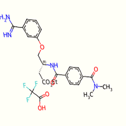 CCOC(=O)C[C@H](COc1cccc(C(=N)N)c1)NC(=O)c1ccc(C(=O)N(C)C)cc1.O=C(O)C(F)(F)F